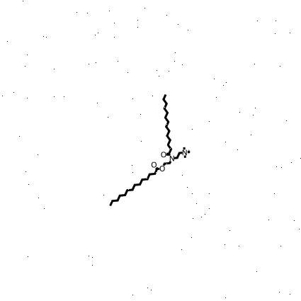 CCCCCCCCCCCCCC(=O)OCCN(CC[N+](C)(C)C)C(=O)CCCCCCCCCCCCC